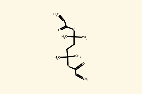 C=CC(=O)OC(C)(C)CCC(C)(C)OC(=O)C=C